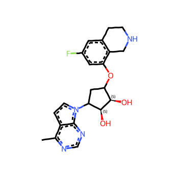 Cc1ncnc2c1ccn2C1CC(Oc2cc(F)cc3c2CNCC3)[C@@H](O)[C@H]1O